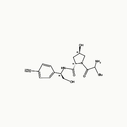 C#Cc1ccc([C@H](CO)NC(=O)[C@@H]2C[C@@H](O)CN2C(=O)C(N)C(C)(C)C)cc1